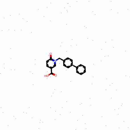 O=C(O)c1ccc(=O)n(Cc2ccc(-c3ccccc3)cc2)c1